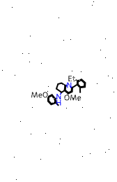 CCc1cccc(C)c1-c1cc(OC)c2c(n1)CCCC2Nc1cc(OC)ccc1C